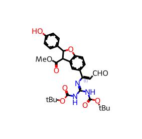 COC(=O)C1c2cc(/C(=C\C=O)N=C(NC(=O)OC(C)(C)C)NC(=O)OC(C)(C)C)ccc2OC1c1ccc(O)cc1